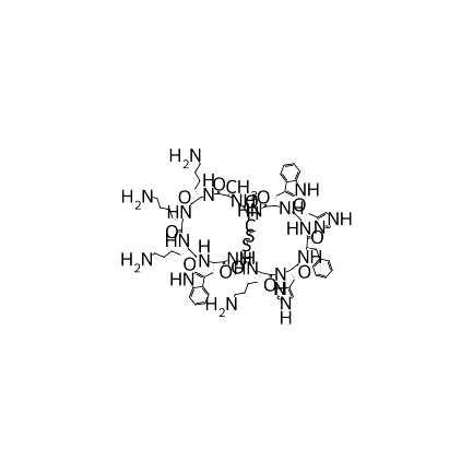 C[C@@H]1NC(=O)[C@@H]2CSS[C@H](NC(=O)[C@H](Cc3c[nH]c4ccccc34)NC(=O)[C@H](CCCCN)NC(=O)[C@H](CCCCN)NC(=O)[C@H](CCCCN)NC1=O)C(=O)N[C@@H](CCCCN)C(=O)N[C@@H](Cc1c[nH]cn1)C(=O)N[C@H](Cc1ccccc1)C(=O)N[C@@H](Cc1c[nH]cn1)C(=O)N[C@@H](Cc1c[nH]c3ccccc13)C(=O)N2